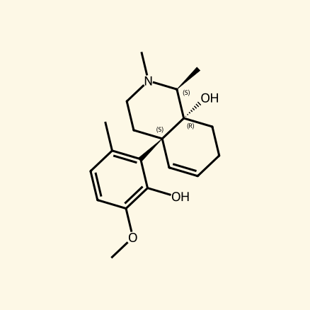 COc1ccc(C)c([C@]23C=CCC[C@]2(O)[C@H](C)N(C)CC3)c1O